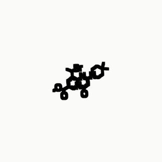 COC(=O)c1cc(C(C)Br)c2nc(N3CCC(C)(C)CC3)cc(=O)n2c1